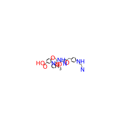 CN1C(=O)[C@@H](NC(=O)c2cc(Cc3ccc(NCCC#N)cc3)on2)COc2ccc(C(=O)O)cc21